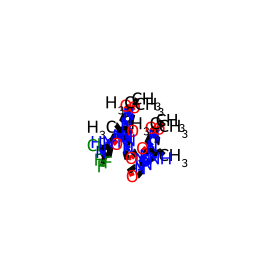 CCc1[nH]c2nc(N3CCOCC3)nn2c(=O)c1N1CCN(C(=O)OC(C)(C)C)CC1.CCc1c(N2CCN(C(=O)OC(C)(C)C)CC2)c(=O)n2nc(N3CCOCC3)nc2n1CC(=O)Nc1ccc(C(F)(F)F)nc1Cl